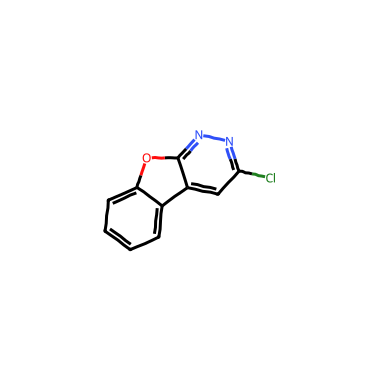 Clc1cc2c(nn1)oc1ccccc12